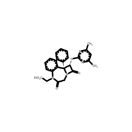 CCOC(=O)CN1C(=O)CN2C(=O)[C@@H](Oc3nc(C)cc(C)n3)[C@]2(c2ccccc2)c2ccccc21